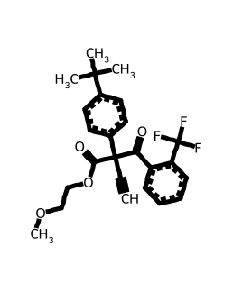 C#CC(C(=O)OCCOC)(C(=O)c1ccccc1C(F)(F)F)c1ccc(C(C)(C)C)cc1